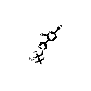 CC(O)(Cn1cc(-c2ccc(C#N)nc2Cl)cn1)C(F)(F)F